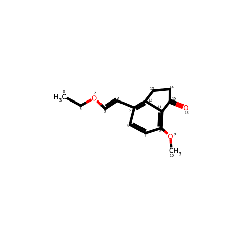 CCO/C=C/c1ccc(OC)c2c1CCC2=O